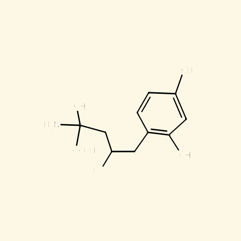 CCC(Cc1ccc(C)cc1C)CC(C)(N)C(=O)O